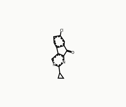 O=C1c2cc(Cl)ccc2-c2cnc(C3CC3)nc21